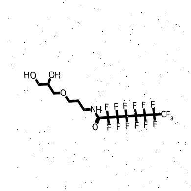 O=C(NCCCOCC(O)CO)C(F)(F)C(F)(F)C(F)(F)C(F)(F)C(F)(F)C(F)(F)C(F)(F)F